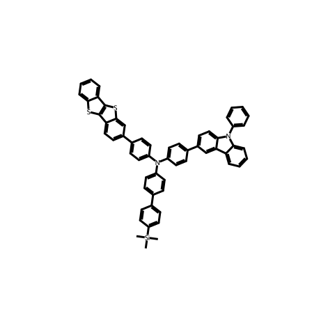 C[Si](C)(C)c1ccc(-c2ccc(N(c3ccc(-c4ccc5c(c4)sc4c6ccccc6sc54)cc3)c3ccc(-c4ccc5c(c4)c4ccccc4n5-c4ccccc4)cc3)cc2)cc1